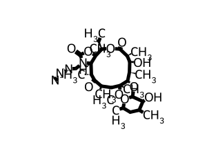 CC[C@H]1OC(=O)[C@H](C)[C@@H](O)[C@H](C)[C@@H](OC2OC(C)CC(C)C2O)[C@@](C)(OC)C[C@@H](C)C(=O)[C@H](C)[C@H]2N(CN=[N+]=[N-])C(=O)O[C@]12C